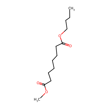 CCCCOC(=O)CCCCCCC(=O)OC